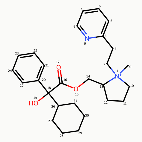 C[N+]1(CCc2ccccn2)CCCC1COC(=O)C(O)(c1ccccc1)C1CCCCC1